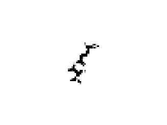 CC(OC(=O)C=CC(=O)O)C(=O)N(C)C